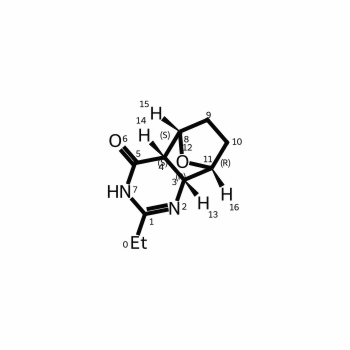 CCC1=N[C@@H]2[C@H](C(=O)N1)[C@@H]1CC[C@H]2O1